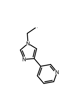 [CH2]Cn1cnc(-c2cccnc2)c1